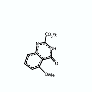 CCOC(=O)c1nc2cccc(OC)c2c(=O)[nH]1